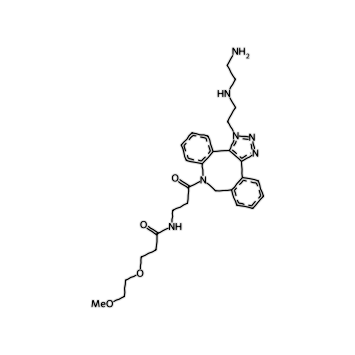 COCCOCCC(=O)NCCC(=O)N1Cc2ccccc2-c2nnn(CCNCCN)c2-c2ccccc21